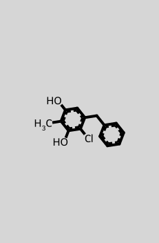 Cc1c(O)cc(Cc2ccccc2)c(Cl)c1O